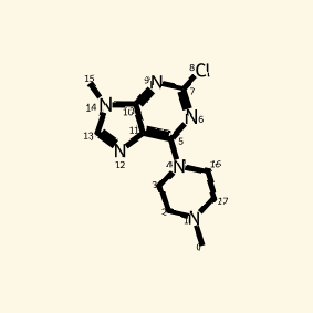 CN1CCN(c2nc(Cl)nc3c2ncn3C)CC1